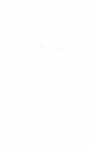 C=NC=C(C#N)C=NNC(=O)c1ccc(C#N)cc1